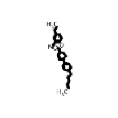 CCCCCCc1ccc(C2CCC(C(=O)Oc3ccc(CCC)cc3C#N)CC2)cc1